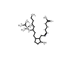 CCCCCC(CCC1CCC(O)C1C/C=C\CCCC(=O)O)O[Si](C)(C)C(C)C